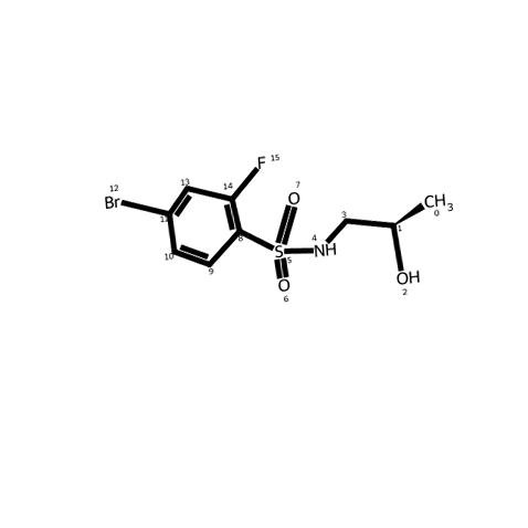 C[C@@H](O)CNS(=O)(=O)c1ccc(Br)cc1F